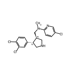 CN(C[C@H]1CNC[C@@H]1c1ccc(Cl)c(Cl)c1)c1ccc(Cl)cn1